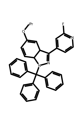 CC(C)OC1=CC2C(c3ccnc(F)c3)=NN(C(c3ccccc3)(c3ccccc3)c3ccccc3)C2C=C1